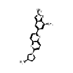 Cc1cc(-c2ccc3nc(N4CCC(N)C4)ccc3n2)cc2cn(C)nc12